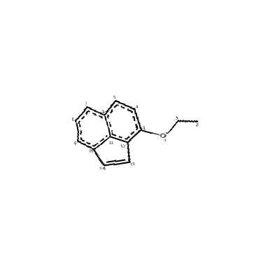 CCOc1ccc2cccc3c2c1C=C3